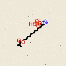 C=C(C)C(=O)OCCCCCCCCCCC(C[N+](C)(C)C)OP(=O)([O-])O